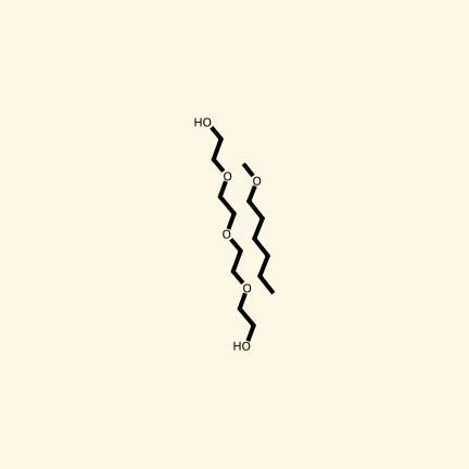 CCCCCCOC.OCCOCCOCCOCCO